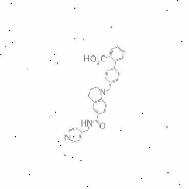 O=C(NCc1ccncc1)c1ccc2c(c1)CCCN2CC1=CCC(c2ccccc2C(=O)O)C=C1